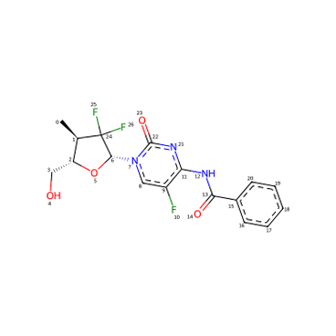 C[C@@H]1[C@@H](CO)O[C@@H](n2cc(F)c(NC(=O)c3ccccc3)nc2=O)C1(F)F